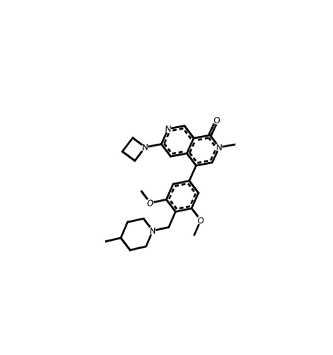 COc1cc(-c2cn(C)c(=O)c3cnc(N4CCC4)cc23)cc(OC)c1CN1CCC(C)CC1